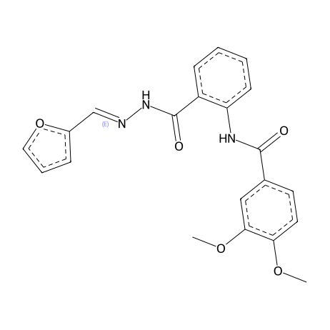 COc1ccc(C(=O)Nc2ccccc2C(=O)N/N=C/c2ccco2)cc1OC